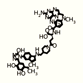 CC(C)c1cc(-c2nnc(O)n2-c2ccc3c(c2)C=CC3NCC2CCN(C(=O)CC[C@H](NC(=O)c3ccc(N(C)Cc4cnc5nc(N)nc(N)c5n4)cc3)C(=O)O)CC2)c(O)cc1O